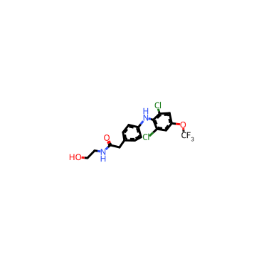 O=C(Cc1ccc(Nc2c(Cl)cc(OC(F)(F)F)cc2Cl)cc1)NCCO